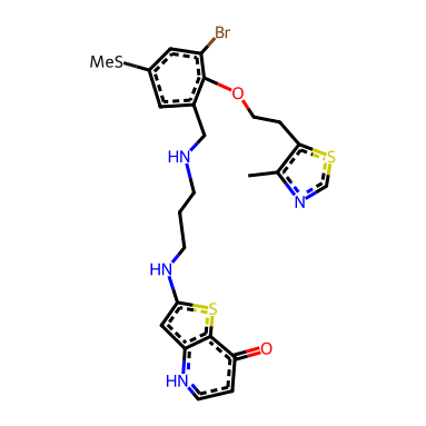 CSc1cc(Br)c(OCCc2scnc2C)c(CNCCCNc2cc3[nH]ccc(=O)c3s2)c1